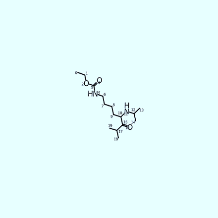 CCOC(=O)NCCCCC(NC(C)C)C(=O)C(C)C